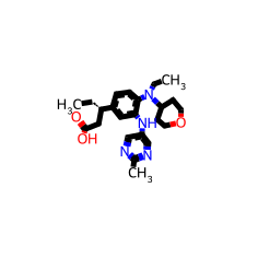 CC[C@@H](CC(=O)O)c1ccc(N(CC)C2CCOCC2)c(Nc2cnc(C)nc2)c1